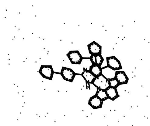 c1ccc(-c2ccc(C3N=C(c4ccccc4-c4ccccc4)N=C(n4c5ccccc5c5ccc6c7ccccc7n(-c7cccc(-c8ccccc8)c7-c7ccccc7)c6c54)N3)cc2)cc1